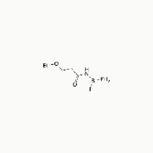 CCOCCC(=O)NB(P)I